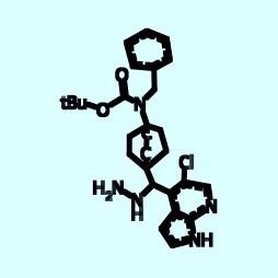 CC(C)(C)OC(=O)N(Cc1ccccc1)C12CCC(C(NN)c3c(Cl)cnc4[nH]ccc34)(CC1)CC2